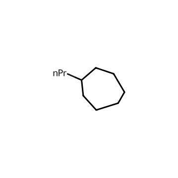 CCCC1CCCCCC1